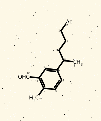 CC(=O)CCCC(C)c1ccc(C)c(C=O)c1